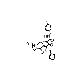 CC(C)CN1CCN2C(=O)c3c(OCc4ccccc4)c(=O)c(C(=O)NCc4ccc(F)cc4)cn3CC12